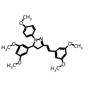 COc1ccc(N2N=C(C=Cc3cc(OC)cc(OC)c3)CC2c2cc(OC)cc(OC)c2)cc1